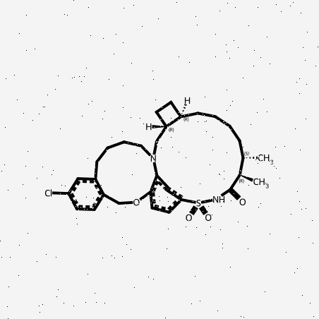 C[C@H]1CCCC[C@@H]2CC[C@H]2CN2CCCCc3cc(Cl)ccc3COc3ccc(cc32)S(=O)(=O)NC(=O)[C@@H]1C